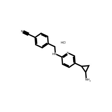 Cl.N#Cc1ccc(CNc2ccc(C3CC3N)cn2)cc1